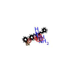 NS(=O)(=O)NC(=O)/C(=C\c1ccc(Oc2ccccc2Br)cc1)NC(=O)CCC1CCCC1